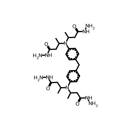 CC(CC(=O)NN)N(c1ccc(Cc2ccc(N(C(C)CC(=O)NN)C(C)CC(=O)NN)cc2)cc1)C(C)CC(=O)NN